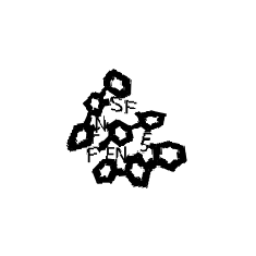 Fc1cccc(F)c1-c1cc(-n2c3ccccc3c3ccc4c5ccccc5sc4c32)c(C(F)(F)F)c(-n2c3ccccc3c3ccc4c5ccccc5sc4c32)c1